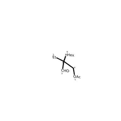 CCCCCCC([C]=O)(CC)COC(C)=O